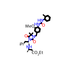 CCOC(=O)C[C@@H](C)NC[C@H](CC(C)C)N1C(=O)N(Cc2ccc(NC(=O)Nc3ccccc3C)c(OC)c2)C(C)(C)C1=O